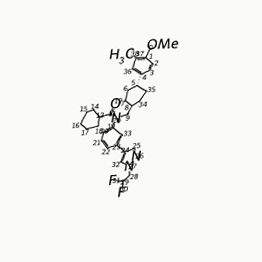 COc1ccc([C@H]2CC[C@H](CN(C(=O)C3CCCCC3)c3cccc(-c4cnn(CC(F)F)c4)c3)CC2)cc1C